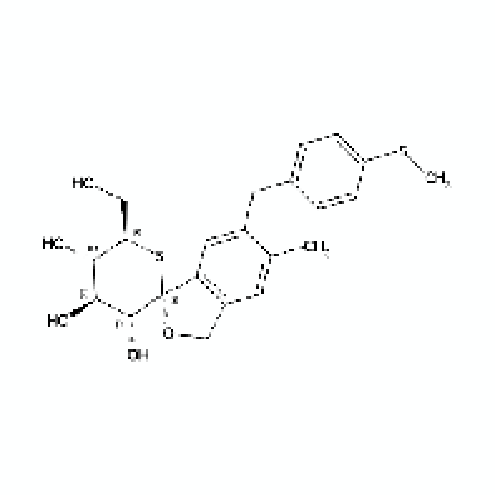 CSc1ccc(Cc2cc3c(cc2C)CO[C@]32S[C@H](CO)[C@@H](O)[C@H](O)[C@H]2O)cc1